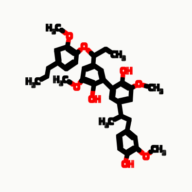 CCCc1ccc(OC(CC)c2cc(OC)c(O)c(-c3cc(C(C)Cc4ccc(O)c(OC)c4)cc(OC)c3O)c2)c(OC)c1